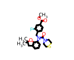 COC(=O)c1ccc(CN(C(=O)N2CCSCC2)c2cccc3c2OC(C)(C)C3)c(F)c1